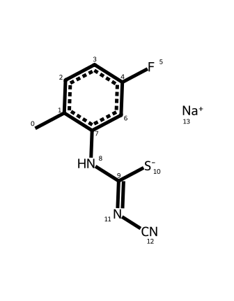 Cc1ccc(F)cc1N/C([S-])=N/C#N.[Na+]